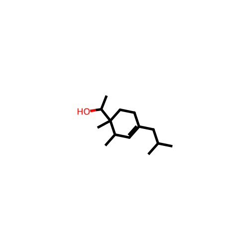 CC(C)CC1=CC(C)C(C)(C(C)O)CC1